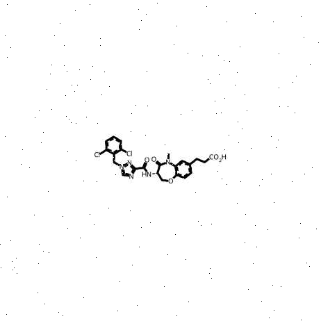 CN1C(=O)[C@@H](NC(=O)c2ncn(Cc3c(Cl)cccc3Cl)n2)COc2ccc(CCC(=O)O)cc21